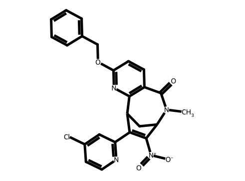 CN1C(=O)c2ccc(OCc3ccccc3)nc2C2CC1C([N+](=O)[O-])=C2c1cc(Cl)ccn1